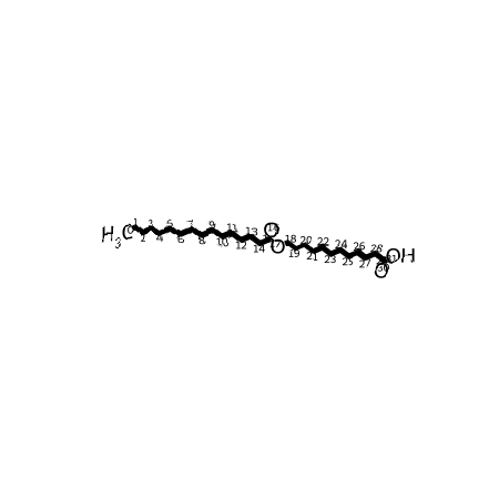 CCCCCCCCCCCCCCCC(=O)OCCCCCCCCCCCC(=O)O